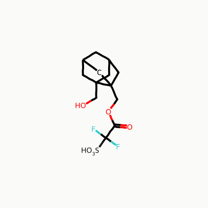 O=C(OCC12CC3CC(CC1(CO)C3)C2)C(F)(F)S(=O)(=O)O